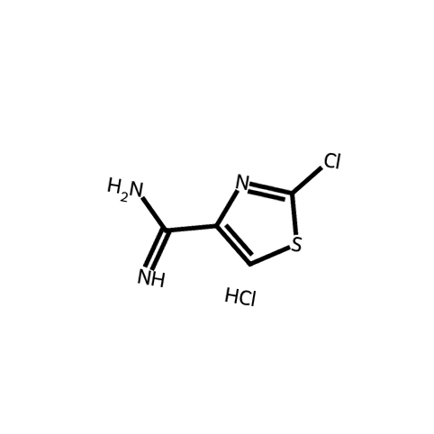 Cl.N=C(N)c1csc(Cl)n1